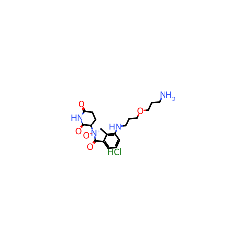 Cl.NCCCOCCCNc1cccc2c1C[N+]([O-])(C1CCC(=O)NC1=O)C2=O